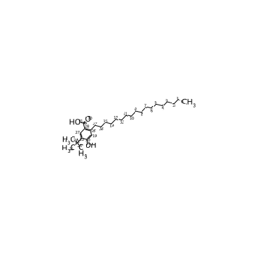 CCCCCCCCCCCCCCCCCCc1cc(O)c(C(C)(C)C)cc1C(=O)O